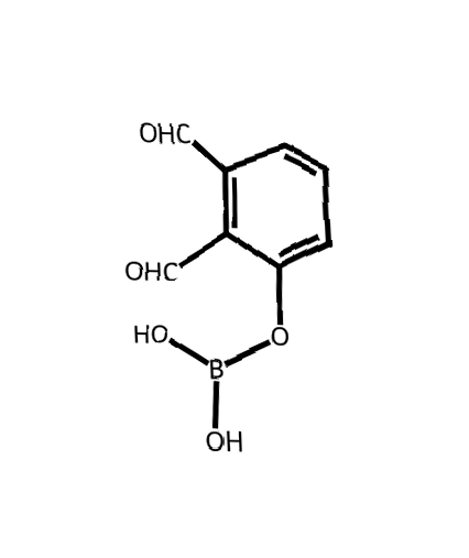 O=Cc1cccc(OB(O)O)c1C=O